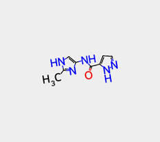 Cc1nc(NC(=O)c2ccn[nH]2)c[nH]1